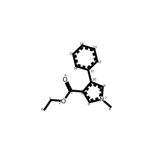 CCOC(=O)c1cn(C)cc1-c1ccccc1